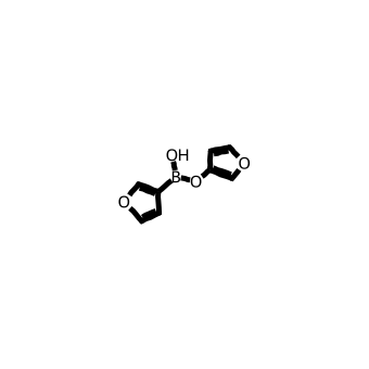 OB(Oc1ccoc1)c1ccoc1